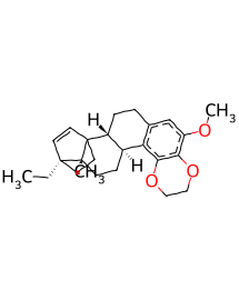 CC[C@@]12C=CC3(CC1)[C@@H]1CCc4cc(OC)c5c(c4[C@H]1CC[C@@]32C)OCCO5